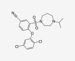 CC(C)N1CCCN(S(=O)(=O)c2cc(C#N)ccc2Oc2cc(Cl)ccc2Cl)CC1